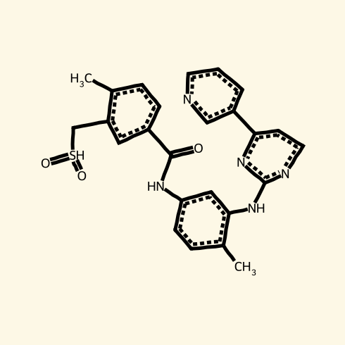 Cc1ccc(C(=O)Nc2ccc(C)c(Nc3nccc(-c4cccnc4)n3)c2)cc1C[SH](=O)=O